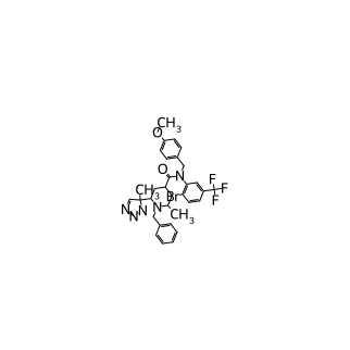 COc1ccc(CN(C(=O)C2CC(C)N(Cc3ccccc3)C(C3(C)C=NN=N3)C2)c2cc(C(F)(F)F)ccc2Br)cc1